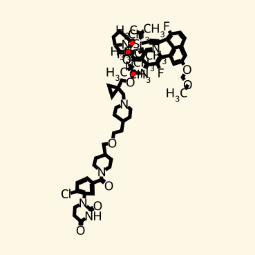 COCOc1cc(-c2ncc3c(N4CC5CCC(C4)N5C(=O)OC(C)(C)C)nc(OCC4(CN5CCC(CCOCC6CCN(C(=O)c7ccc(Cl)c(N8CCC(=O)NC8=O)c7)CC6)CC5)CC4)nc3c2F)c2c(C#C[Si](C(C)C)(C(C)C)C(C)C)c(F)ccc2c1